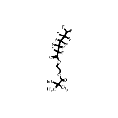 CCC(C)(C)C(=O)OCCOC(=O)C(F)(F)C(F)(F)C(F)(F)C(F)(F)C(F)F